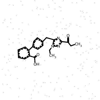 CCC(=O)c1nc(Cc2ccc(-c3ccccc3C(=O)O)cc2)n(CC)n1